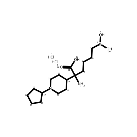 Cl.Cl.NC(CCCCB(O)O)(C(=O)O)C1CCN(C2CCCC2)CC1